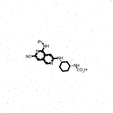 CC(C)Nc1nc(C#N)cc2cnc(N[C@H]3CCC[C@@H](NC(=O)O)C3)cc12